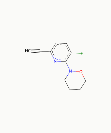 C#Cc1ccc(F)c(N2CCCCO2)n1